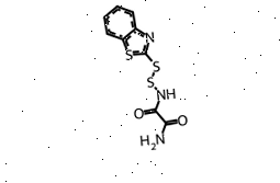 NC(=O)C(=O)NSSc1nc2ccccc2s1